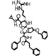 N=C(N)NCCC[C@H](NC(=O)[C@@H]1C[C@@H](OCc2ccccc2)CN1C(=O)[C@H](CCc1ccccc1)NC(=O)CCc1ccccc1)C(=O)C(=O)NC1CC1